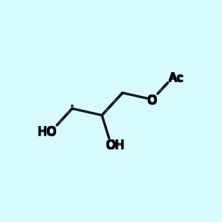 CC(=O)OCC(O)[CH]O